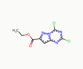 CCOC(=O)c1cc2nc(Cl)nc(Cl)n2n1